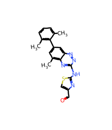 Cc1cccc(C)c1-c1cc(C)c2nc(Nc3nc(C=O)cs3)nnc2c1